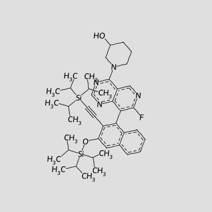 CC(C)[Si](C#Cc1c(O[Si](C(C)C)(C(C)C)C(C)C)cc2ccccc2c1-c1c(F)ncc2c(N3CCCC(O)C3)ncnc12)(C(C)C)C(C)C